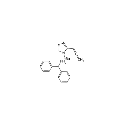 C=C=Cc1nccn1C(C)(C)C.PC(c1ccccc1)c1ccccc1